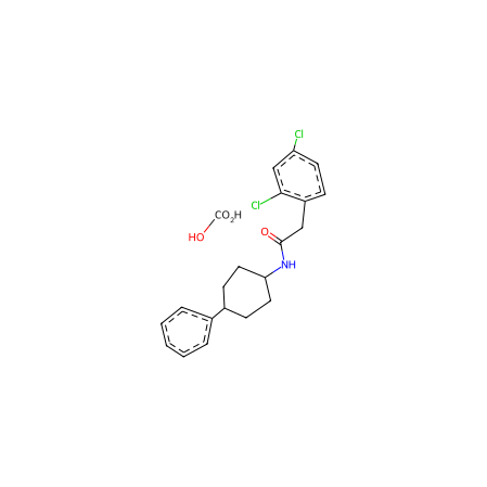 O=C(Cc1ccc(Cl)cc1Cl)NC1CCC(c2ccccc2)CC1.O=C(O)O